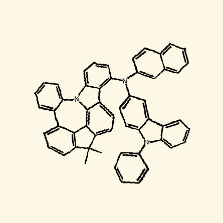 CC1(C)c2cccc3c2-c2c1ccc1c4c(N(c5ccc6ccccc6c5)c5ccc6c(c5)c5ccccc5n6-c5ccccc5)cccc4n(c21)-c1ccccc1-3